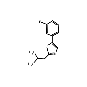 CC(C)Cc1ncc(-c2cccc(F)c2)s1